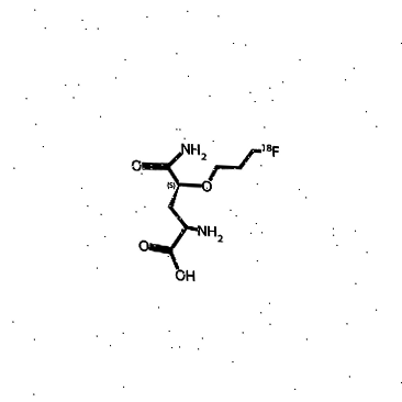 NC(=O)[C@H](CC(N)C(=O)O)OCCC[18F]